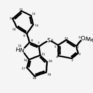 COc1cccc(Sc2c(-c3ccccc3)[nH]c3ccccc23)c1